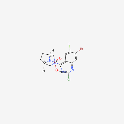 CC(C)(C)OC(=O)N1[C@@H]2CC[C@H]1CN(c1nc(Cl)nc3cc(Br)c(F)cc13)C2